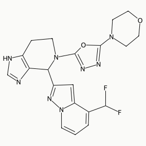 FC(F)c1cccn2nc(C3c4nc[nH]c4CCN3c3nnc(N4CCOCC4)o3)cc12